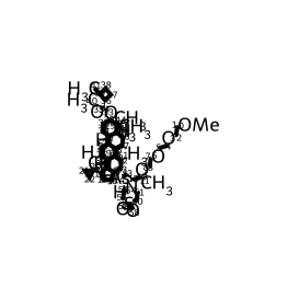 COCCOCCOCCO[C@H](C)[C@H](C[AsH][C@]12CC[C@@H](C3(C)CC3)[C@@H]1[C@H]1CC[C@@H]3[C@@]4(C)CC[C@H](OC(=O)[C@H]5CCC5(C)C)C(C)(C)[C@@H]4CC[C@@]3(C)[C@]1(C)CC2)N1CCS(=O)(=O)CC1